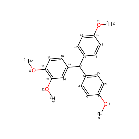 [2H]Oc1ccc(C(c2ccc(O[2H])cc2)c2ccc(O[2H])c(O[2H])c2)cc1